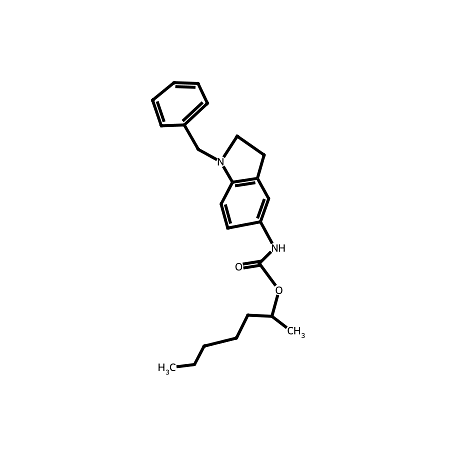 CCCCCC(C)OC(=O)Nc1ccc2c(c1)CCN2Cc1ccccc1